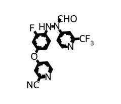 N#Cc1cc(Oc2ccc(NN(C=O)c3ccnc(C(F)(F)F)c3)c(F)c2)ccn1